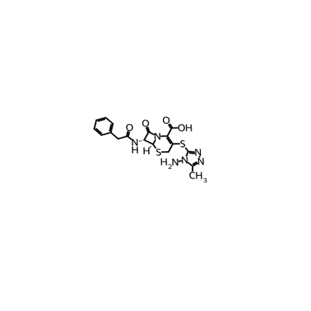 Cc1nnc(SC2=C(C(=O)O)N3C(=O)[C@@H](NC(=O)Cc4ccccc4)[C@@H]3SC2)n1N